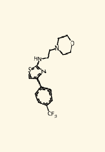 FC(F)(F)c1ccc(-c2csc(NCCN3CCOCC3)n2)cc1